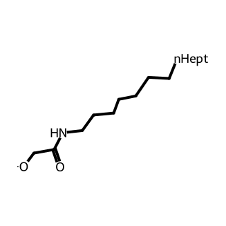 CCCCCCCCCCCCCCNC(=O)C[O]